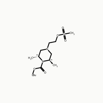 C[C@@H]1CN(CCOS(C)(=O)=O)C[C@@H](C)N1C(=O)OC(C)(C)C